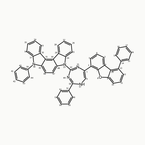 C1=C(c2cccc3c2oc2cccc(-c4ccccc4)c23)N=C(n2c3ccccc3c3c4c5ccccc5n(-c5ccccc5)c4ccc32)N=C(c2ccccc2)N1